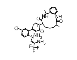 CC1CCCC(N2CCC(c3cc(Cl)ccc3N(N)/C=C(\N)C(F)(F)F)=CC2=O)C(=O)NC(C)c2ccccc2NC1=O